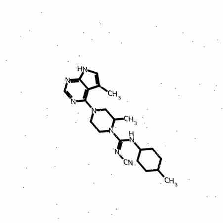 Cc1c[nH]c2ncnc(N3CCN(C(=NC#N)NC4CCC(C)CC4)C(C)C3)c12